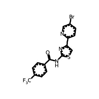 O=C(Nc1nc(-c2ccc(Br)cn2)cs1)c1ccc(C(F)(F)F)cc1